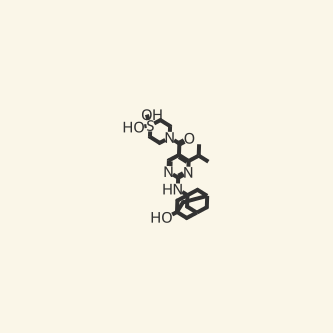 CC(C)c1nc(NC23CC4CC(CC(O)(C4)C2)C3)ncc1C(=O)N1CCS(O)(O)CC1